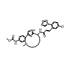 COC(=O)Nc1ccc2c(c1)N(C)CCCCCCC(NC(=O)C=Cc1cc(Cl)ccc1-n1cnnn1)c1nc-2c[nH]1